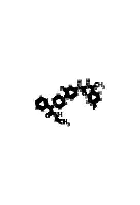 CCNC(=O)C(c1ccccc1)N1CCN(c2ccc(NC(=O)N[C@@H](C)c3ccc(F)cc3)cc2F)CC1